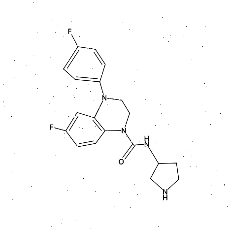 O=C(NC1CCNC1)N1CCN(c2ccc(F)cc2)c2cc(F)ccc21